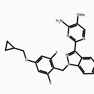 COc1cnc(-c2nn(Cc3c(F)cc(OCC4CC4)cc3F)c3ccccc23)nc1N